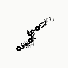 CC(C)(C)OC(=O)N1CCN(c2ccc(-c3cc4nccc(Oc5ccc(NC(=S)NC(=O)Cc6ccccc6)cc5F)c4s3)cc2)CC1